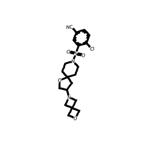 N#Cc1ccc(Cl)c(S(=O)(=O)N2CCC3(CC2)CC(N2CC4(COC4)C2)CO3)c1